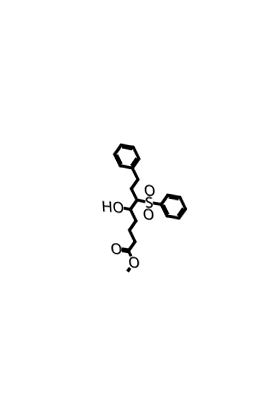 COC(=O)CCCC(O)C(CCc1ccccc1)S(=O)(=O)c1ccccc1